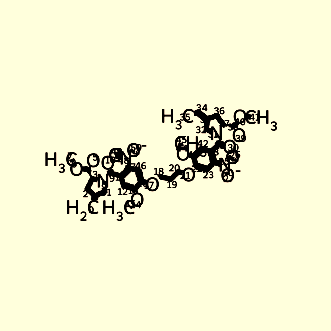 C=C1C[C@@H](C(=O)OC)N(C(=O)c2cc(OC)c(OCCCOc3cc([N+](=O)[O-])c(C(=O)N4C/C(=C\C)C[C@H]4C(=O)OC)cc3OC)cc2[N+](=O)[O-])C1